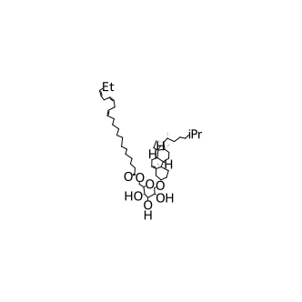 CC/C=C\C/C=C\C/C=C\CCCCCCCCCCCC(=O)OCC1O[C@@H](O[C@H]2CC[C@@]3(C)C(=CC[C@H]4[C@@H]5CC[C@H]([C@H](C)CCCC(C)C)[C@@]5(C)CC[C@@H]43)C2)C(O)C(O)[C@@H]1O